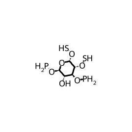 O[C@@H]1[C@@H](OP)O[C@H](OS)[C@H](OS)[C@H]1OP